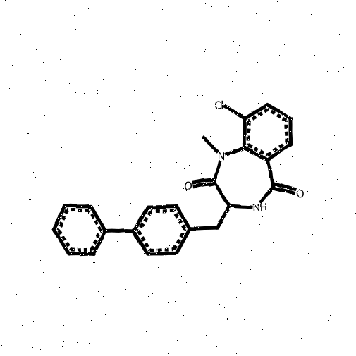 CN1C(=O)C(Cc2ccc(-c3ccccc3)cc2)NC(=O)c2cccc(Cl)c21